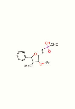 CO[C@@H]1[C@H](OC(C)C)[C@@H](/C=C/P(=O)(O)C=O)O[C@H]1c1ccccc1